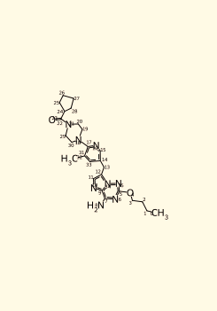 CCCCOc1nc(N)c2ncc(Cc3cnc(N4CCN(C(=O)C5CCCC5)CC4)c(C)c3)n2n1